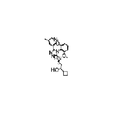 COc1cccc(OC)c1-n1c(NSCC(O)C2CCC2)nnc1-c1cncc(C)c1